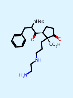 CCCCCCC(Cc1ccccc1)C(=O)[C@H]1CCC(=O)[C@@]1(CCCNCCN)C(=O)O